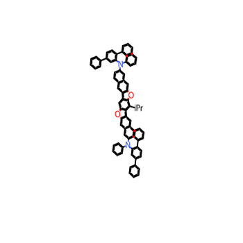 CC(C)c1c2oc3cc4cc(N(c5ccccc5)c5cc(-c6ccccc6)ccc5-c5ccccc5)ccc4cc3c2cc2oc3cc4cc(N(c5ccccc5)c5cc(-c6ccccc6)ccc5-c5ccccc5)ccc4cc3c12